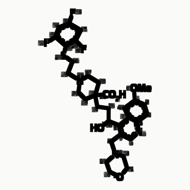 COc1ccc2ncc(CN3CCOCC3)c(C(O)CCC3(C(=O)O)CCN(CCSc4c(F)cc(F)cc4F)CC3)c2c1